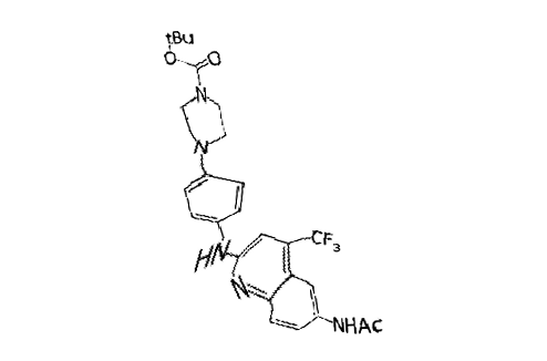 CC(=O)Nc1ccc2nc(Nc3ccc(N4CCN(C(=O)OC(C)(C)C)CC4)cc3)cc(C(F)(F)F)c2c1